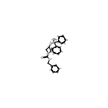 CC(C)(C)[Si](OC1CN(C(=O)OCc2ccccc2)C1)(c1ccccc1)c1ccccc1